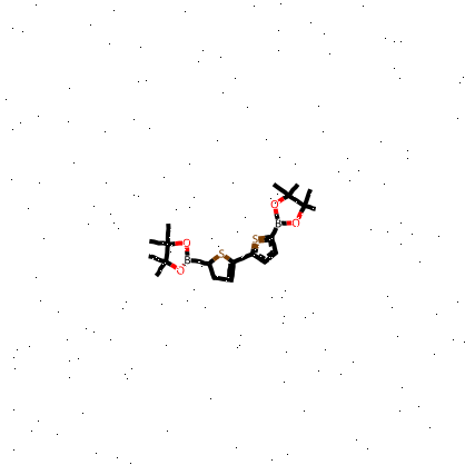 CC1(C)OB(c2ccc(C3=CCC(B4OC(C)(C)C(C)(C)O4)S3)s2)OC1(C)C